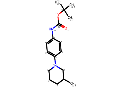 CC1CCCN(c2ccc(NC(=O)OC(C)(C)C)cc2)C1